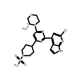 C[C@@H]1COCCN1c1cc(C2CCN(S(C)(=O)=O)CC2)nc(-c2cc(Cl)nc3[nH]ccc23)n1